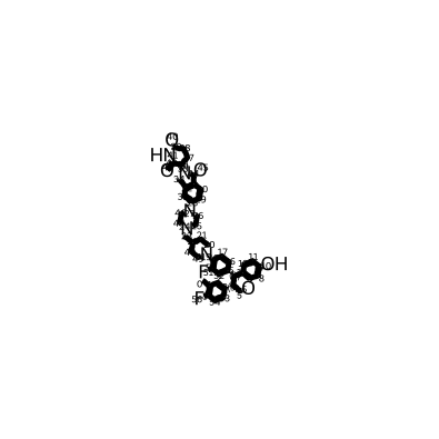 Cc1cc([C@H]2COc3cc(O)ccc3[C@H]2c2ccc(N3CCC(CN4CCN(c5ccc6c(c5)CN([C@H]5CCC(=O)NC5=O)C6=O)CC4)CC3)c(F)c2)ccc1F